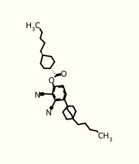 CCCCCC12CCC(c3ccc(OC(=O)[C@H]4CC[C@H](CCCCC)CC4)c(C#N)c3C#N)(CC1)CC2